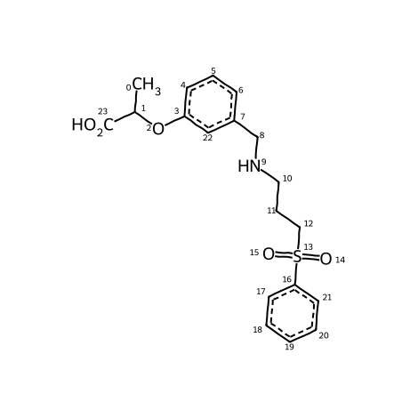 CC(Oc1cccc(CNCCCS(=O)(=O)c2ccccc2)c1)C(=O)O